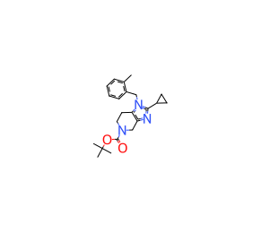 Cc1ccccc1Cn1c(C2CC2)nc2c1CCN(C(=O)OC(C)(C)C)C2